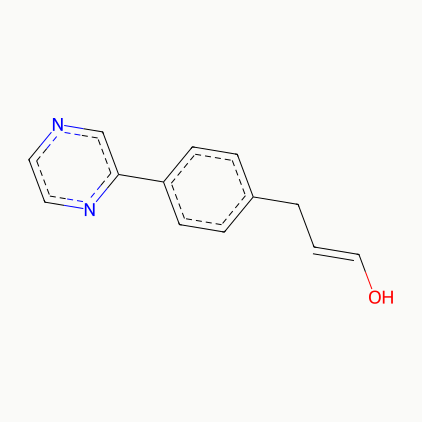 O/C=C/Cc1ccc(-c2cnccn2)cc1